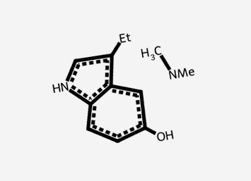 CCc1c[nH]c2ccc(O)cc12.CNC